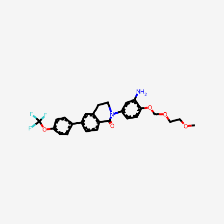 COCCOCOc1ccc(N2CCc3cc(-c4ccc(OC(F)(F)F)cc4)ccc3C2=O)cc1N